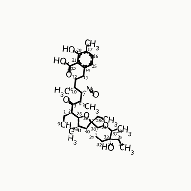 CC[C@@H](C(=O)[C@@H](C)[C@@H](N=O)[C@H](C)CCc1ccc(C)c(O)c1C(=O)O)[C@H]1O[C@](CC)([C@H]2CC[C@](O)(CC)[C@H](C)O2)C[C@@H]1C